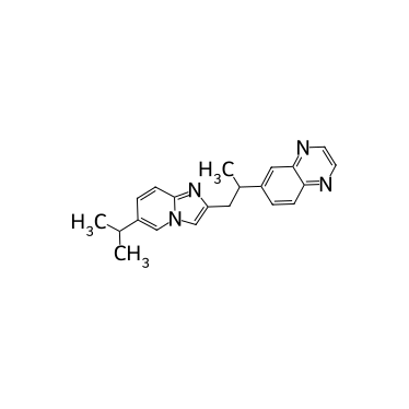 CC(C)c1ccc2nc(CC(C)c3ccc4nccnc4c3)cn2c1